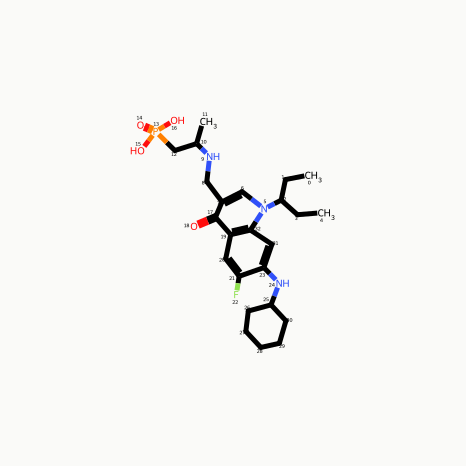 CCC(CC)n1cc(CNC(C)CP(=O)(O)O)c(=O)c2cc(F)c(NC3CCCCC3)cc21